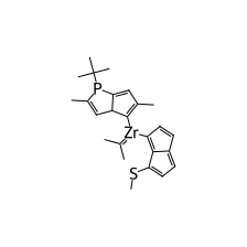 CSC1=CC=C2C=C[C]([Zr]([C]3=C(C)C=C4C3C=C(C)P4C(C)(C)C)=[C](C)C)=C21